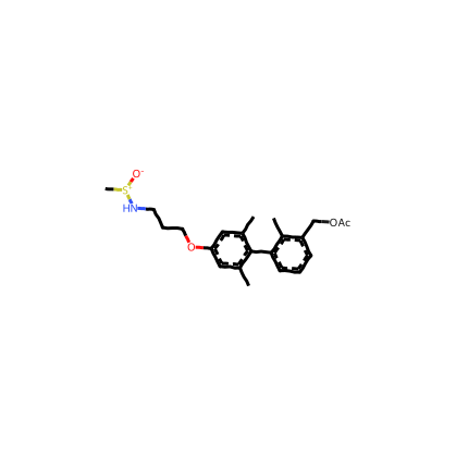 CC(=O)OCc1cccc(-c2c(C)cc(OCCCN[S+](C)[O-])cc2C)c1C